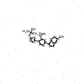 CC(C)Nc1cc(-c2ccc3cc(C#N)cnn23)ncc1-c1nnc(CC(C)(C)O)s1